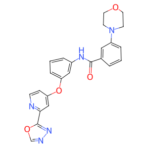 O=C(Nc1cccc(Oc2ccnc(-c3nnco3)c2)c1)c1cccc(N2CCOCC2)c1